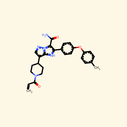 C=CC(=O)N1CCC(c2cnn3c(C(N)=O)c(-c4ccc(Oc5ccc(C)cc5)cc4)[nH]c23)CC1